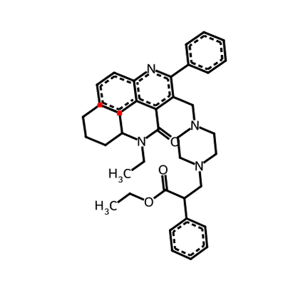 CCOC(=O)C(CN1CCN(Cc2c(-c3ccccc3)nc3ccccc3c2C(=O)N(CC)C2CCCCC2)CC1)c1ccccc1